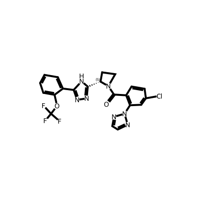 O=C(c1ccc(Cl)cc1-n1nccn1)N1CC[C@H]1c1nnc(-c2ccccc2OC(F)(F)F)[nH]1